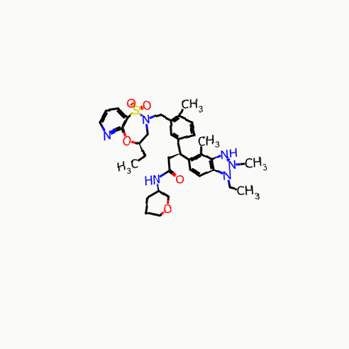 CC[C@@H]1CN(Cc2cc([C@H](CC(=O)NC3CCCOC3)c3ccc4c(c3C)NN(C)N4CC)ccc2C)S(=O)(=O)c2cccnc2O1